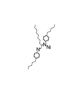 CCCCCCCCC(/C=N/c1ccc(CCCCC)cc1)=N\c1ccc(CCCCC)cc1.[Ni]